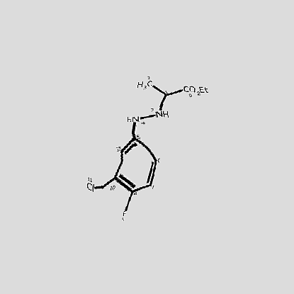 CCOC(=O)C(C)NNc1ccc(F)c(Cl)c1